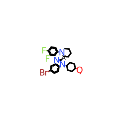 CO[C@H]1CC[C@H](n2c([C@@H]3CCCCN3c3ccc(F)c(F)c3)nc3cc(Br)ccc32)CC1